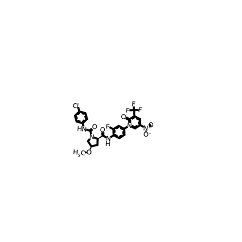 CO[C@@H]1C[C@H](C(=O)Nc2ccc(-n3cc([N+](=O)[O-])cc(C(F)(F)F)c3=O)cc2F)N(C(=O)Nc2ccc(Cl)cc2)C1